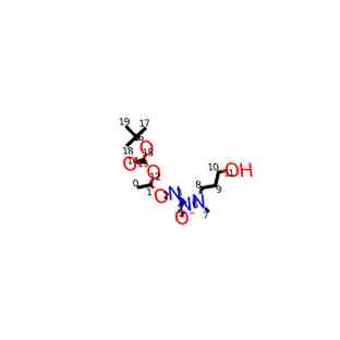 CC(O/N=[N+](\[O-])N(C)CCCO)OC(=O)OC(C)(C)C